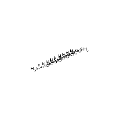 NCCC[SiH2]O[SiH2]O[SiH2]O[SiH2]O[SiH2]O[SiH2]O[SiH2]O[SiH2]O[SiH2]O[SiH3]